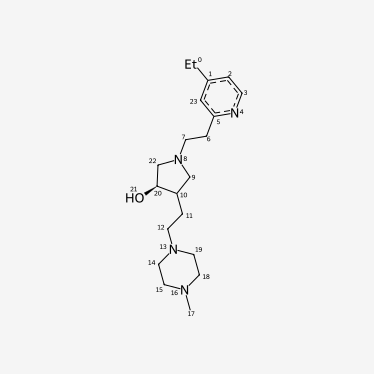 CCc1ccnc(CCN2CC(CCN3CCN(C)CC3)[C@@H](O)C2)c1